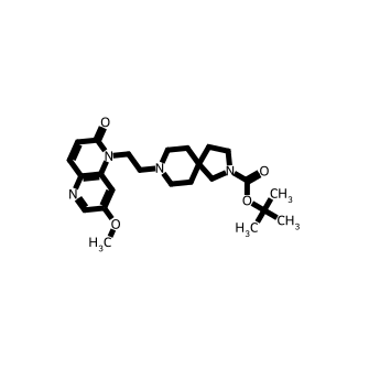 COc1cnc2ccc(=O)n(CCN3CCC4(CC3)CCN(C(=O)OC(C)(C)C)C4)c2c1